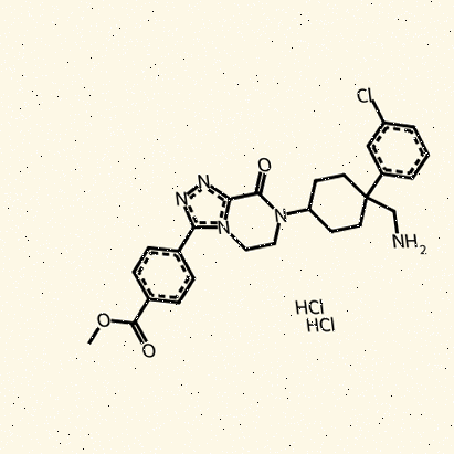 COC(=O)c1ccc(-c2nnc3n2CCN(C2CCC(CN)(c4cccc(Cl)c4)CC2)C3=O)cc1.Cl.Cl